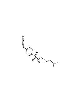 CN(C)CCCNS(=O)(=O)c1ccc(N=C=O)cc1